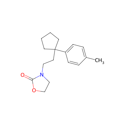 Cc1ccc(C2(CCN3CCOC3=O)CCCC2)cc1